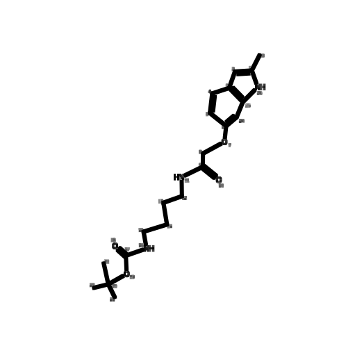 Cc1cc2ccc(OCC(=O)NCCCCNC(=O)OC(C)(C)C)cc2[nH]1